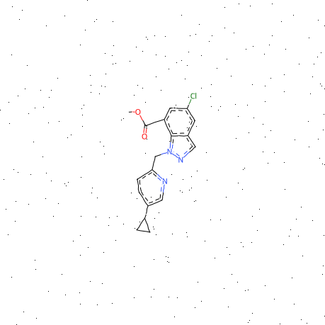 COC(=O)c1cc(Cl)cc2cnn(Cc3ccc(C4CC4)cn3)c12